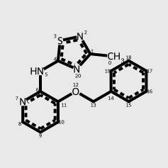 Cc1nsc(Nc2ncccc2OCc2ccccc2)n1